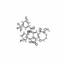 CN1CCCOc2c(cc(NC(=O)c3cc(F)cc(C(F)(F)F)c3)c3c2C(=O)NC3c2cc(F)ccc2Cl)C1=O